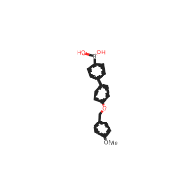 COc1ccc(COc2ccc(-c3ccc(B(O)O)cc3)cc2)cc1